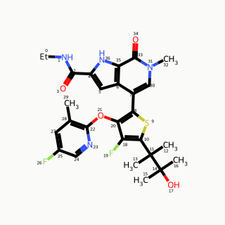 CCNC(=O)c1cc2c(-c3sc(C(C)(C)C(C)(C)O)c(F)c3Oc3ncc(F)cc3C)cn(C)c(=O)c2[nH]1